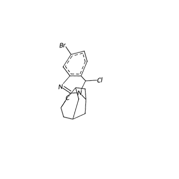 ClC1c2ccc(Br)cc2N=C2C3CC4CC(C3)CC(C4)N21